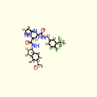 CC(=O)c1ccc2c(c1C)CC[C@@H]2NC(=O)c1cc(C(=O)NCc2ccc(F)c(C(F)(F)F)c2)nc2ccnn12